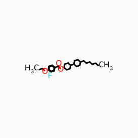 CCCCCCCC1CCC(C2CCC(OC(=O)c3ccc(OCCC)c(F)c3)CC2)CC1